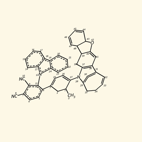 CC1CC(c2ccc(C#N)c(C#N)c2-n2c3ccccc3c3ccccc32)=CC=C1N1C2=C=C(C=CCC2)C2=C1CC1C(=C2)OC2C=CC=CC21